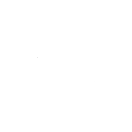 CN1C(=O)CSc2ccc(C(=O)Nc3ccc(CN4CCCCCC4)cc3)cc21